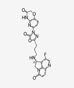 O=C1COc2ccc(-n3nc(CCCN[C@@H]4Cn5c(=O)ccc6ncc(F)c4c65)oc3=O)nc2N1